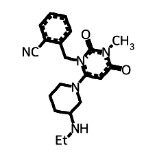 CCNC1CCCN(c2cc(=O)n(C)c(=O)n2Cc2ccccc2C#N)C1